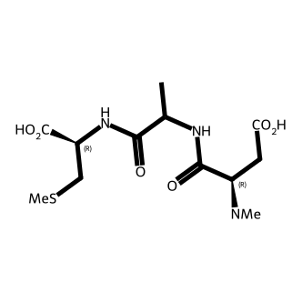 CN[C@H](CC(=O)O)C(=O)NC(C)C(=O)N[C@@H](CSC)C(=O)O